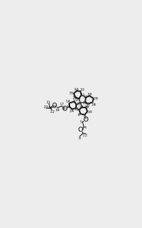 CC(C)OCCOc1ccc(C2(c3ccc(OCCOC(C)(C)C)cc3)c3ccccc3-c3ccccc32)cc1